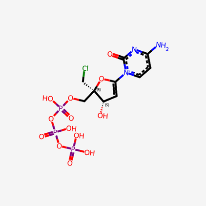 Nc1ccn(C2=C[C@H](O)[C@@](CCl)(COP(=O)(O)OP(=O)(O)OP(=O)(O)O)O2)c(=O)n1